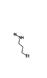 CCCCCN[N]